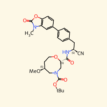 CO[C@H]1CCO[C@H](C(=O)N[C@H](C#N)Cc2ccc(-c3ccc4oc(=O)n(C)c4c3)cc2)CN(C(=O)OC(C)(C)C)C1